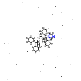 BC(c1ccccc1)c1ccccc1.CC(C)[SiH2]C(c1ccccc1)(c1ccccc1)n1ccnc1